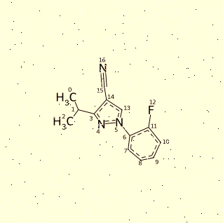 CC(C)c1nn(-c2ccccc2F)cc1C#N